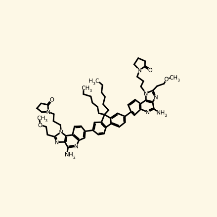 CCCCCCC1(CCCCCC)c2cc(-c3ccc4c(c3)nc(N)c3nc(CCOC)n(CCCN5CCCC5=O)c34)ccc2-c2ccc(-c3ccc4c(c3)nc(N)c3nc(CCOC)n(CCCN5CCCC5=O)c34)cc21